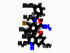 CCCC1CC(=O)C2=C(C1)NC(C)=C(C#N)C2c1cc(C(N)=O)c(N(C)Cc2cccc(OC)c2)c(Br)c1C(CC)S(=O)(=O)O